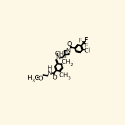 C=c1cc(C)c(C(=O)NCCOC)c/c1=C/N(C)CC1CN(C(=O)c2ccc(Cl)c(C(F)(F)F)c2)C1